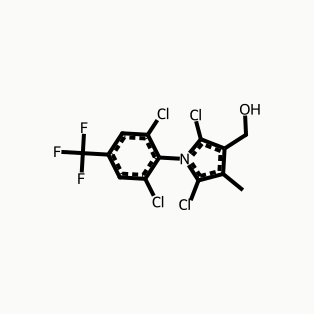 Cc1c(CO)c(Cl)n(-c2c(Cl)cc(C(F)(F)F)cc2Cl)c1Cl